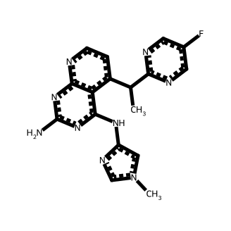 CC(c1ncc(F)cn1)c1ccnc2nc(N)nc(Nc3cn(C)cn3)c12